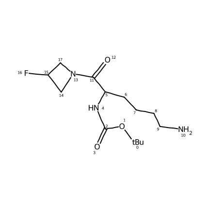 CC(C)(C)OC(=O)NC(CCCCN)C(=O)N1CC(F)C1